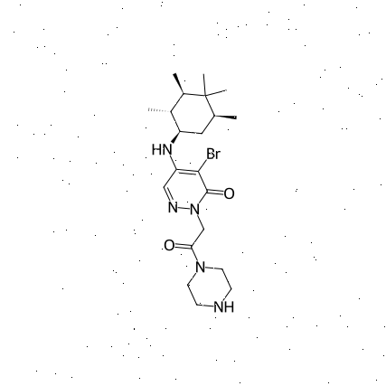 C[C@@H]1[C@@H](C)C(C)(C)[C@@H](C)C[C@H]1Nc1cnn(CC(=O)N2CCNCC2)c(=O)c1Br